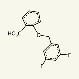 O=C(O)c1ccccc1OCc1cc(F)cc(F)c1